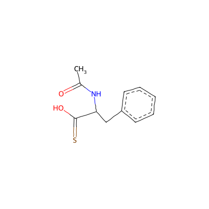 CC(=O)NC(Cc1ccccc1)C(O)=S